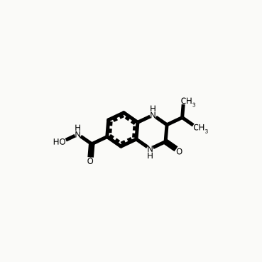 CC(C)C1Nc2ccc(C(=O)NO)cc2NC1=O